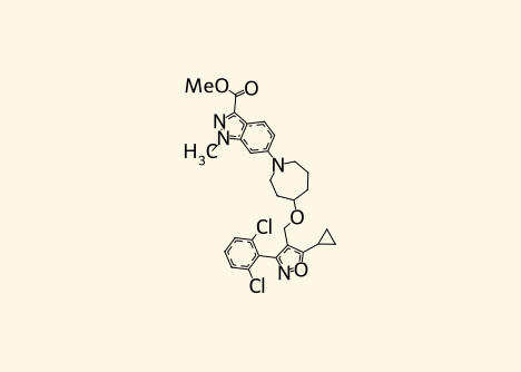 COC(=O)c1nn(C)c2cc(N3CCCC(OCc4c(-c5c(Cl)cccc5Cl)noc4C4CC4)CC3)ccc12